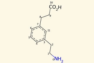 NCCc1cccc(CCC(=O)O)c1